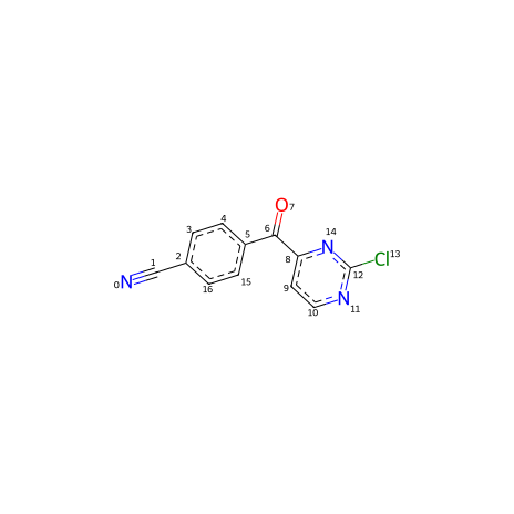 N#Cc1ccc(C(=O)c2ccnc(Cl)n2)cc1